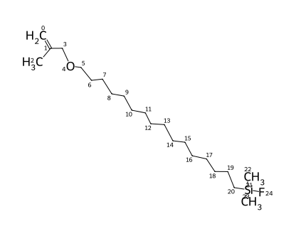 C=C(C)COCCCCCCCCCCCCCCCC[Si](C)(C)F